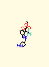 CCOC(=O)c1oc2c(c1C(F)(F)F)-c1nn(CC3CCNCC3)cc1CC2